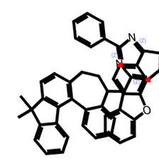 CC1(C)c2ccccc2-c2c1ccc1c2-c2ccccc2C(CC2=C/CC/C(c3ccc4c(c3)oc3ccccc34)=N/C(c3ccccc3)=N\2)CC1